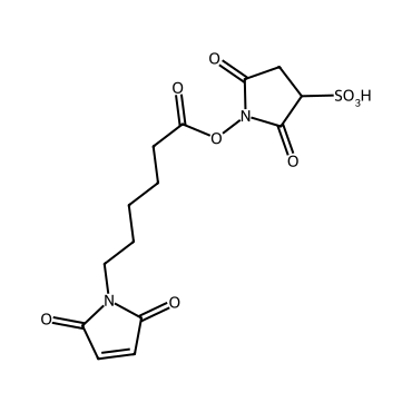 O=C(CCCCCN1C(=O)C=CC1=O)ON1C(=O)CC(S(=O)(=O)O)C1=O